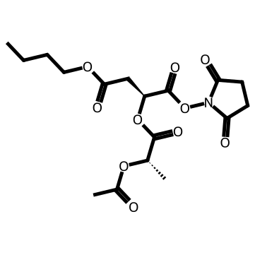 CCCCOC(=O)C[C@H](OC(=O)[C@H](C)OC(C)=O)C(=O)ON1C(=O)CCC1=O